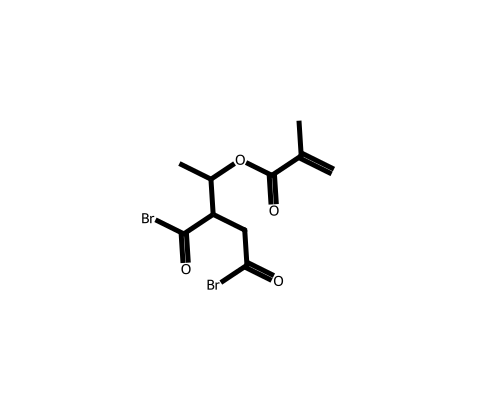 C=C(C)C(=O)OC(C)C(CC(=O)Br)C(=O)Br